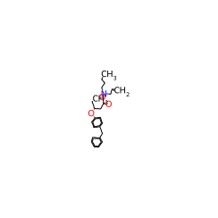 C=CCN(CCCC)OC(=O)CC(CC)Oc1ccc(Cc2ccccc2)cc1